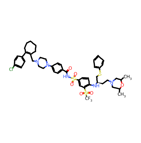 CC1CN(CC[C@H](CSc2ccccc2)Nc2ccc(S(=O)(=O)NC(=O)c3ccc(N4CCN(CC5=C(c6ccc(Cl)cc6)CCCCC5)CC4)cc3)cc2S(=O)(=O)C(F)(F)F)CC(C)O1